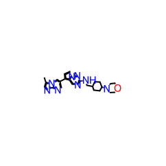 Cc1cnc2ncc(-c3ccn4nc(NCC5CCC(N6CCOCC6)CC5)ncc34)cn12